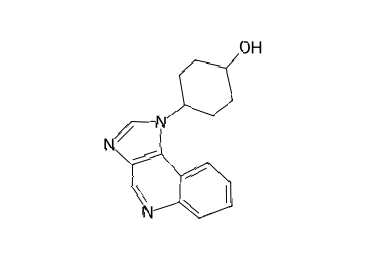 OC1CCC(n2cnc3cnc4ccccc4c32)CC1